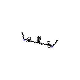 CCCCCC/C=C\COC(=O)CCCCCCCN(CCCCCCCC(=O)OC/C=C\CCCCCC)SCC(C)N(C)C